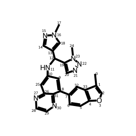 Cc1coc2ccc(-c3cc(NC(c4cnn(C)c4)c4cnnn4C)cc4nccnc34)cc12